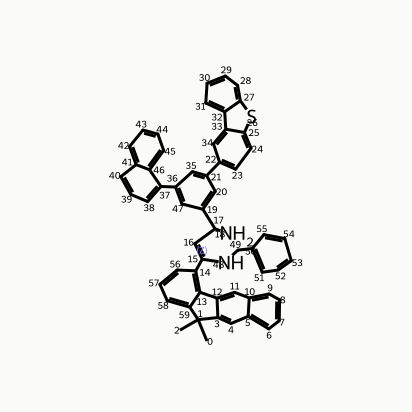 CC1(C)c2cc3ccccc3cc2-c2c(/C(=C/C(N)c3cc(-c4ccc5sc6ccccc6c5c4)cc(-c4cccc5ccccc45)c3)NCc3ccccc3)cccc21